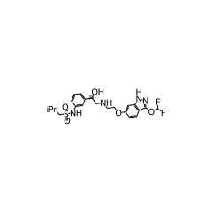 CC(C)CS(=O)(=O)Nc1cccc([C@@H](O)CNCCOc2ccc3c(OC(F)F)n[nH]c3c2)c1